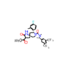 COC(=O)C1C[C@@]2(CCN(C(=O)N(C)[C@H](C)c3cc(C(F)(F)F)cc(C(F)(F)F)c3)[C@@H](c3ccc(F)cc3C)C2)NC1=O